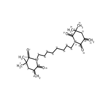 C=C1CC(C)(C)C(=O)N(CCCCCCCCN2C(=O)C(=C)CC(C)(C)C2=O)C1=O